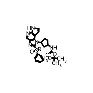 CC(C)(C)OC(=O)NC1CCC(n2c(S(=O)(=O)c3ccccc3)nc3cnc4[nH]ccc4c32)C1